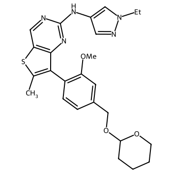 CCn1cc(Nc2ncc3sc(C)c(-c4ccc(COC5CCCCO5)cc4OC)c3n2)cn1